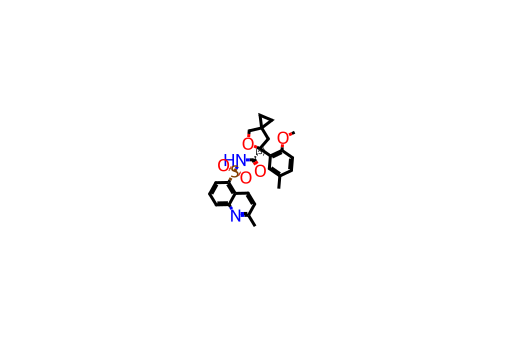 COc1ccc(C)cc1[C@]1(C(=O)NS(=O)(=O)c2cccc3nc(C)ccc23)CC2(CC2)CO1